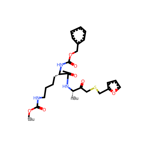 CCCC[C@H](NC(=O)[C@H](CCCCNC(=O)OC(C)(C)C)NC(=O)OCc1ccccc1)C(=O)CSCc1ccco1